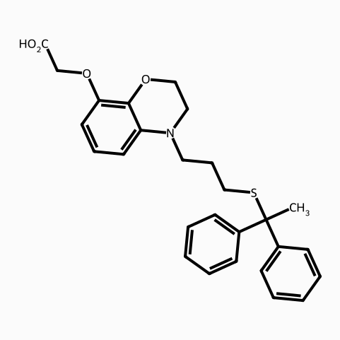 CC(SCCCN1CCOc2c(OCC(=O)O)cccc21)(c1ccccc1)c1ccccc1